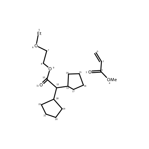 C=CC(=O)OC.CCOCCOC(=O)C(C1CCCC1)C1CCCC1